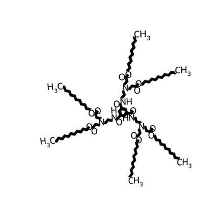 CCCCCCCCCCCCOC(=O)CCN(CCCNC(=O)c1cc(C(=O)NCCCN(CCC(=O)OCCCCCCCCCCCC)CCC(=O)OCCCCCCCCCCCC)cc(C(=O)NCCCN(CCC(=O)OCCCCCCCCCCCC)CCC(=O)OCCCCCCCCCCCC)c1)CCC(=O)OCCCCCCCCCCCC